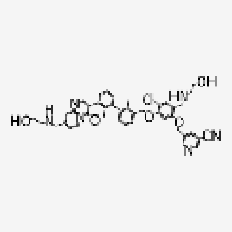 Cc1c(COc2cc(OCc3cncc(C#N)c3)c(CNCCO)cc2Cl)cccc1-c1cccc(-c2cnc3cc(CNCCO)ccn3c2=O)c1C